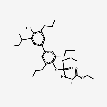 CCCc1cc(-c2cc(CCC)c(OP(=O)(COC)N[C@@H](C)C(=O)OCC)c(CCC)c2)cc(C(C)CC)c1O